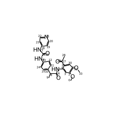 COc1cc(NC(=O)C(C)c2ccc(NC(=O)Nc3ccncc3)cc2)c(C(C)=O)cc1OC